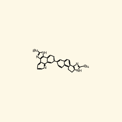 CCC(C)c1nc2c([nH]1)CCc1c-2ccc2cc(-c3ccc4c(c3)c3ncccc3c3nc(C(C)CC)[nH]c43)ccc12